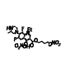 CCn1cc(C(=O)OCCCCO[N+](=O)[O-])c(=O)c2cc(F)c(N3CCNC(C)C3)c(F)c21.O=[N+]([O-])O